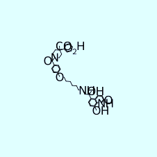 O=C(c1ccc(OCCCCCCNCC(O)c2ccc(O)c3[nH]c(=O)ccc23)cc1)N1CCC(C(=O)O)(c2ccccc2)CC1